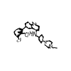 CN1CCN(c2ccc(Nc3ccnc4ccc(-c5cccc(Cl)c5Cl)cc34)cc2)CC1